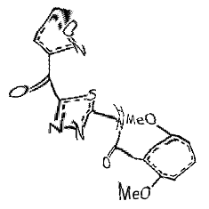 COc1cccc(OC)c1C(=O)Nc1nnc(C(=O)c2ccon2)s1